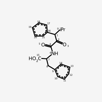 CC(C)C(C(=O)C(=O)NC(Cc1ccccc1)C(=O)O)c1ccccc1